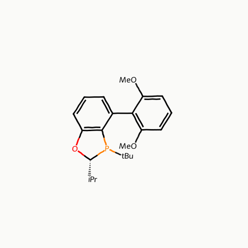 COc1cccc(OC)c1-c1cccc2c1P(C(C)(C)C)[C@H](C(C)C)O2